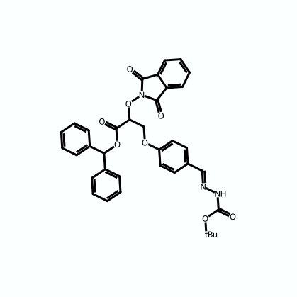 CC(C)(C)OC(=O)NN=Cc1ccc(OCC(ON2C(=O)c3ccccc3C2=O)C(=O)OC(c2ccccc2)c2ccccc2)cc1